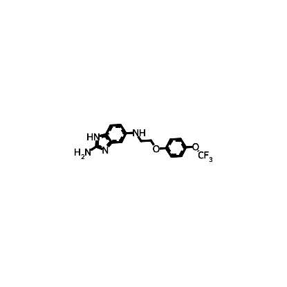 Nc1nc2cc(NCCOc3ccc(OC(F)(F)F)cc3)ccc2[nH]1